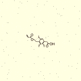 C=CC(=O)OCCc1c(I)cc(CC(=O)O)c(I)c1I